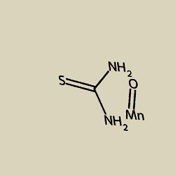 NC(N)=S.[O]=[Mn]